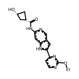 CCOc1nccc(-c2cc3cnc(NC(=O)[C@H]4C[C@@H](O)C4)cc3[nH]2)n1